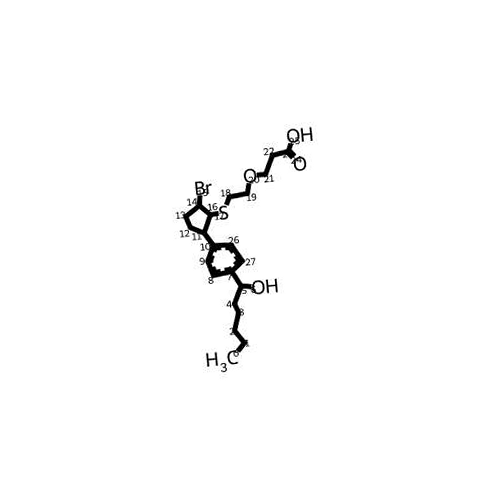 CCCCCC(O)c1ccc(C2CCC(Br)C2SCCOCCC(=O)O)cc1